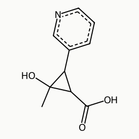 CC1(O)C(C(=O)O)C1c1cccnc1